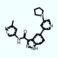 Cc1cc(NC(=O)c2n[nH]c3ccc(-c4cncc(N5CCCC5)c4)cc23)ccn1